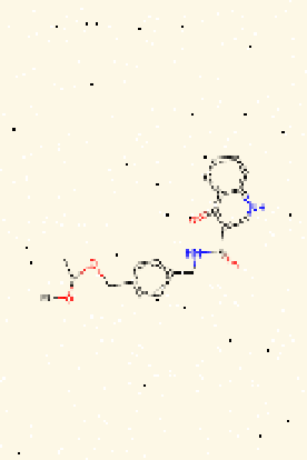 CCOC(C)OCc1ccc(CNC(=O)c2c[nH]c3ccccc3c2=O)cc1